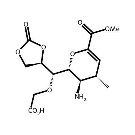 COC(=O)C1=C[C@H](C)[C@@H](N)[C@H]([C@H](OCC(=O)O)[C@H]2COC(=O)O2)O1